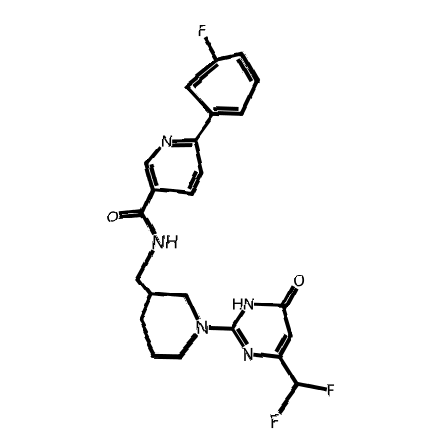 O=C(NCC1CCCN(c2nc(C(F)F)cc(=O)[nH]2)C1)c1ccc(-c2cccc(F)c2)nc1